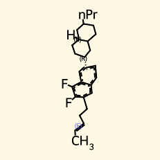 C/C=C/CCc1cc2ccc([C@@H]3CC[C@@H]4CC(CCC)CCC4C3)cc2c(F)c1F